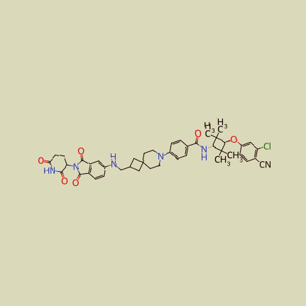 CC1(C)[C@H](NC(=O)c2ccc(N3CCC4(CC3)CC(CNc3ccc5c(c3)C(=O)N(C3CCC(=O)NC3=O)C5=O)C4)cc2)C(C)(C)[C@H]1Oc1ccc(C#N)c(Cl)c1